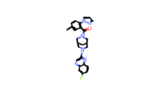 Cc1ccc(-n2cccn2)c(C(=O)N2CC3CC(C2)CN(c2cnc4cc(F)ccc4n2)C3)c1